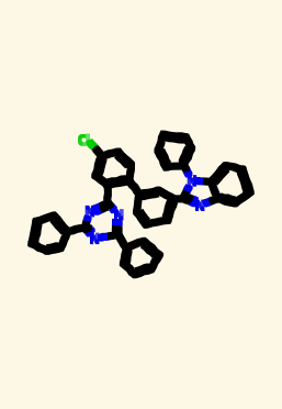 Clc1ccc(-c2cccc(-c3nc4ccccc4n3-c3ccccc3)c2)c(-c2nc(-c3ccccc3)nc(-c3ccccc3)n2)c1